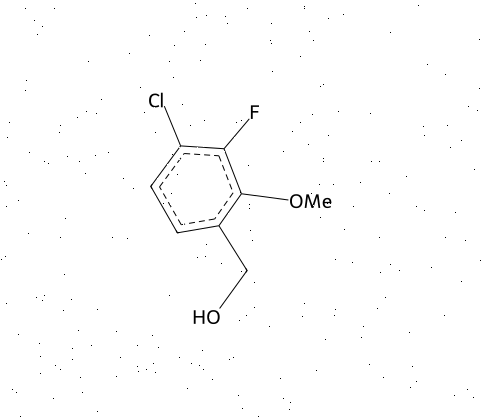 COc1c(CO)ccc(Cl)c1F